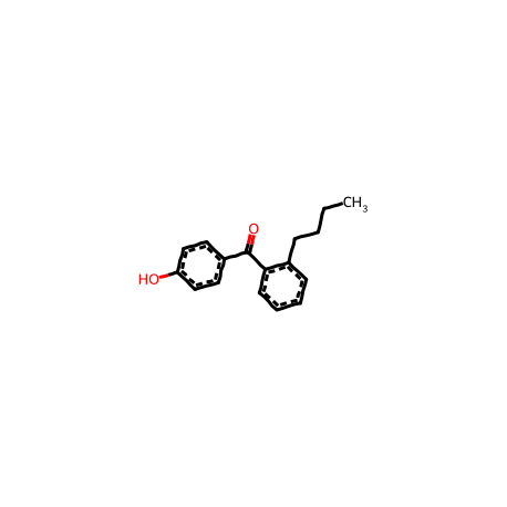 CCCCc1ccccc1C(=O)c1ccc(O)cc1